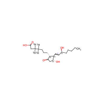 [2H]C([2H])(CCC[C@H]1C(=O)C[C@@H](O)[C@@H]1/C=C/[C@@H](O)CCCCC)C([2H])([2H])CC(=O)O